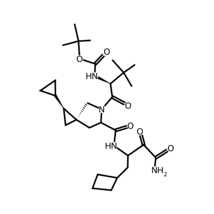 CC(C)(C)OC(=O)N[C@H](C(=O)N1C[C@]2(CC1C(=O)NC(CC1CCC1)C(=O)C(N)=O)C[C@H]2C1CC1)C(C)(C)C